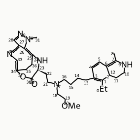 CC/C(C)=C(/C=C\C1=C(C)NCCC1)CCCCN(CCOC)CC[C@@H]1N/C2=c3/c(cnn3C)=N\C=C(\CC2)OC1=O